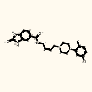 Cc1ccc(Cl)cc1N1CCN(C/C=C\CNC(=O)c2ccc3oc(=O)[nH]c3c2)CC1